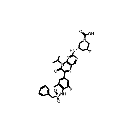 Cc1cc(-c2nc3cnc(N[C@H]4C[C@H](F)CN(C(=O)O)C4)nc3n(C(C)C)c2=O)cc(F)c1NS(=O)(=O)Cc1ccccc1